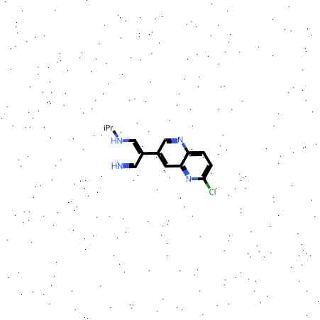 CC(C)N/C=C(\C=N)c1cnc2ccc(Cl)nc2c1